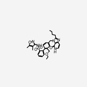 CCCCc1nc2cc[nH]c(=O)c2n1Cc1ccc(-c2ccccc2S(=O)(=O)Nc2noc(C)c2C)c(COCC)c1